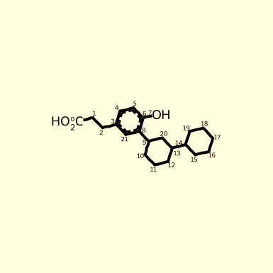 O=C(O)CCc1ccc(O)c(C2CCCC(C3CCCCC3)C2)c1